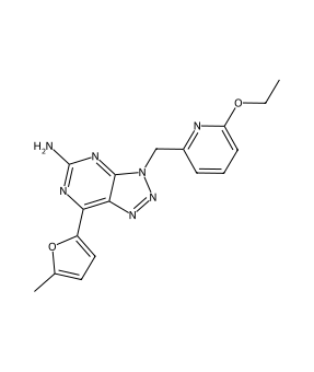 CCOc1cccc(Cn2nnc3c(-c4ccc(C)o4)nc(N)nc32)n1